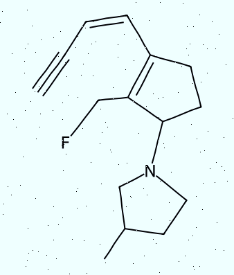 C#C/C=C\C1=C(CF)C(N2CCC(C)C2)CC1